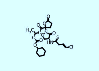 CC(OC(=O)OC1CCCCC1)OC(=O)C1(N2OC[C@H](NC(=S)CC=CCl)C2=O)CCC(=O)O1